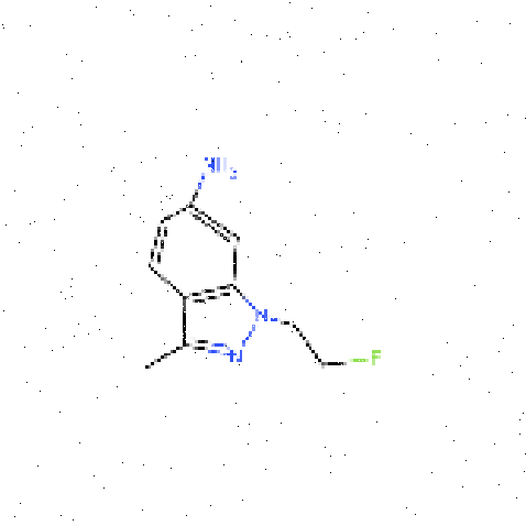 Cc1nn(CCF)c2cc(N)ccc12